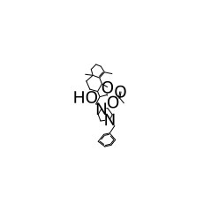 CC(=O)OC1OC2C3=C(C)CCCC3(C)CCC2(O)C1CN1CCN(Cc2ccccc2)CC1